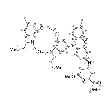 COCCN1COCN(CCOC)c2ccc(-c3c4cc/c(=N\C(CCC(=O)OC)CC(=O)OC)cc-4oc4cc(C)ccc34)cc2OCCOc2cc(C)ccc21